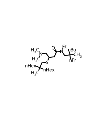 CCCCCCC(C)(CCCCCC)CSC(CC(=O)N(CC)CC(C)(CCC)CCCC)CN(C)C